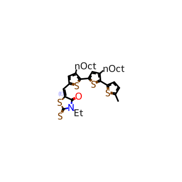 CCCCCCCCc1cc(/C=C2/SC(=S)N(CC)C2=O)sc1-c1cc(CCCCCCCC)c(-c2ccc(C)s2)s1